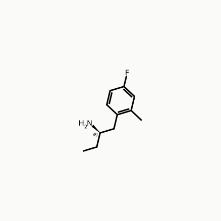 CC[C@@H](N)Cc1ccc(F)cc1C